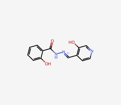 O=C(N/N=C/c1ccncc1O)c1ccccc1O